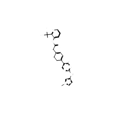 Cn1ccc(Nc2ncc(C3=CC=C(CC(=O)NC4=C=C=CN=C4C(F)(F)F)CC3)cn2)c1